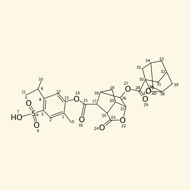 Cc1cc(S(=O)(=O)O)c(C(C)C)cc1OC(=O)C1C2CC3C(OC(=O)C31)C2OC(=O)C12CC3CC(C1)C(=O)C(C3)C2